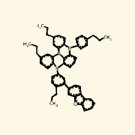 CCCc1ccc(N2c3ccc(CCC)cc3B3c4cc(CCC)ccc4N(c4ccc(CCC)c(-c5ccc6c(c5)oc5ccccc56)c4)c4cccc2c43)cc1